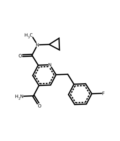 CN(C(=O)c1cc(C(N)=O)cc(Cc2cccc(F)c2)n1)C1CC1